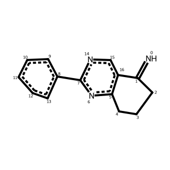 N=C1CCCc2nc(-c3ccccc3)ncc21